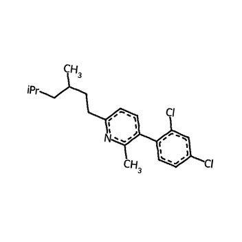 Cc1nc(CCC(C)CC(C)C)ccc1-c1ccc(Cl)cc1Cl